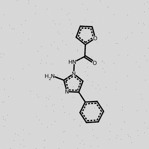 Nc1nc(-c2ccccc2)cn1NC(=O)c1ccco1